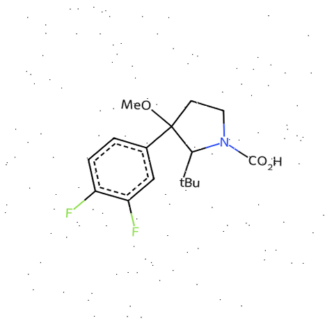 COC1(c2ccc(F)c(F)c2)CCN(C(=O)O)C1C(C)(C)C